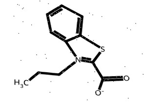 CCC[n+]1c(C(=O)[O-])sc2ccccc21